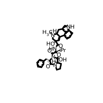 CC(C)[C@@]1(NC(=O)[C@]2(O)C=C3c4cccc5[nH]cc(c45)C[C@H]3N(C)C2)O[C@@]2(O)[C@@H]3CCCN3C(=O)[C@H](Cc3ccccc3)N2C1=O